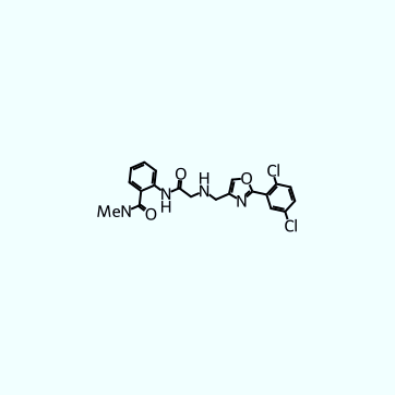 CNC(=O)c1ccccc1NC(=O)CNCc1coc(-c2cc(Cl)ccc2Cl)n1